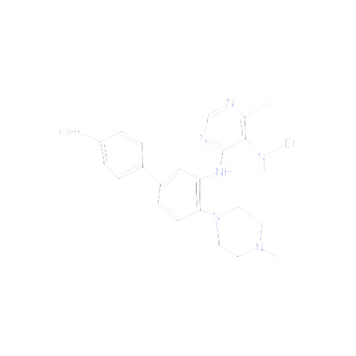 CCNc1c(Cl)ncnc1Nc1cc(-c2ccc(C=O)cc2)ccc1N1CCN(C)CC1